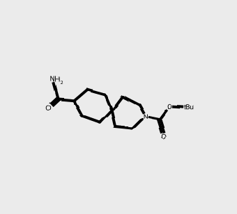 CC(C)(C)OC(=O)N1CCC2(CCC(C(N)=O)CC2)CC1